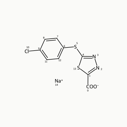 O=C([O-])c1nnc(Sc2ccc(Cl)cc2)s1.[Na+]